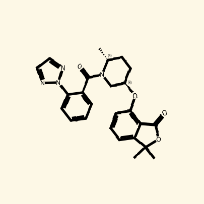 C[C@@H]1CC[C@@H](Oc2cccc3c2C(=O)OC3(C)C)CN1C(=O)c1ccccc1-n1nccn1